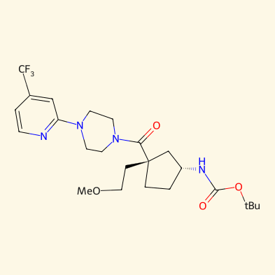 COCC[C@]1(C(=O)N2CCN(c3cc(C(F)(F)F)ccn3)CC2)CC[C@@H](NC(=O)OC(C)(C)C)C1